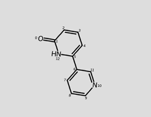 O=c1cccc(-c2cccnc2)[nH]1